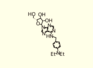 CCN(CC)c1ccc(CNc2ncnc3c2ncn3C2O[C@H](CO)[C@@H](O)[C@H]2O)cc1